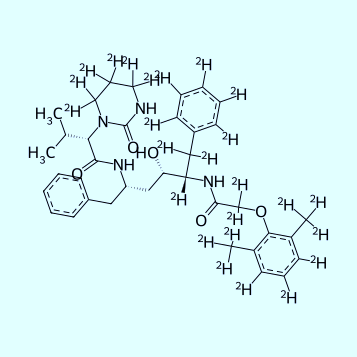 [2H]c1c([2H])c([2H])c(C([2H])([2H])[C@]([2H])(NC(=O)C([2H])([2H])Oc2c(C([2H])([2H])[2H])c([2H])c([2H])c([2H])c2C([2H])([2H])[2H])[C@@H](O)C[C@H](Cc2ccccc2)NC(=O)[C@H](C(C)C)N2C(=O)NC([2H])([2H])C([2H])([2H])C2([2H])[2H])c([2H])c1[2H]